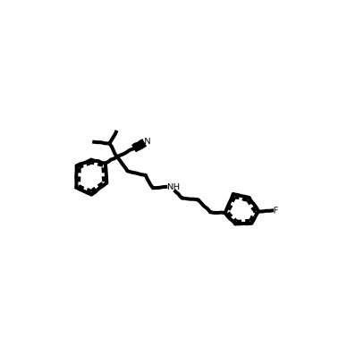 CC(C)C(C#N)(CCCNCCCc1ccc(F)cc1)c1ccccc1